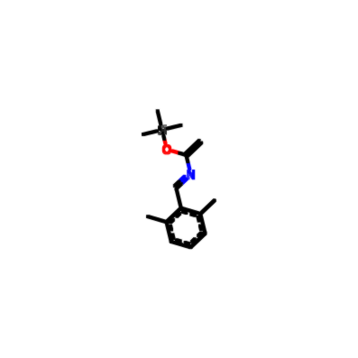 C=C(/N=C/c1c(C)cccc1C)O[Si](C)(C)C